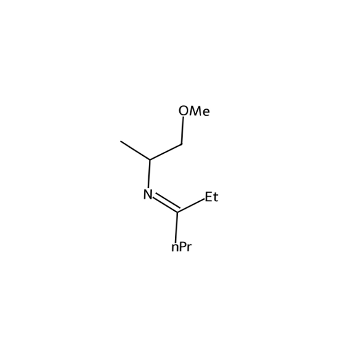 CCCC(CC)=NC(C)COC